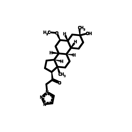 CO[C@@H]1C[C@@H]2[C@H](CC[C@]3(C)[C@@H](C(=O)Cn4ccnn4)CC[C@@H]23)[C@H]2CC[C@@](C)(O)C[C@H]21